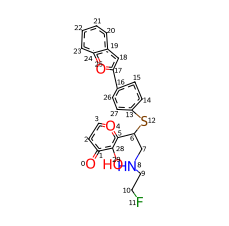 O=c1ccoc(C(CNCCF)Sc2ccc(-c3cc4ccccc4o3)cc2)c1O